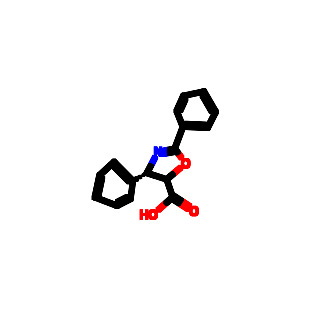 O=C(O)C1OC(c2ccccc2)=N[C@H]1c1ccccc1